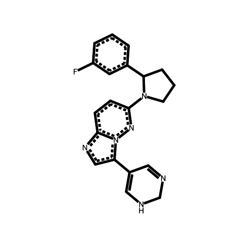 Fc1cccc(C2CCCN2c2ccc3ncc(C4=CNCN=C4)n3n2)c1